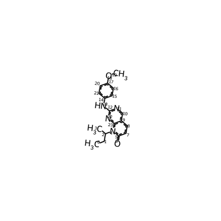 CCC(C)n1c(=O)ccc2cnc(Nc3ccc(OC)cc3)nc21